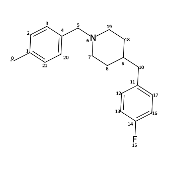 [CH2]c1ccc(CN2CCC(Cc3ccc(F)cc3)CC2)cc1